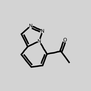 CC(=O)c1cccc2cnnn12